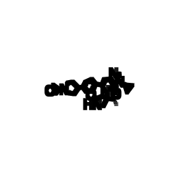 C[C@@H](Oc1nc(-c2ccc(C3CCN(C4COC4)CC3)cc2)cc2ncn(C3CC3)c12)C1CNC(=O)C1